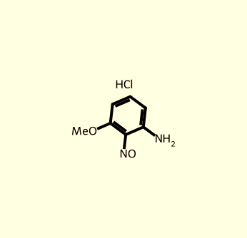 COc1cccc(N)c1N=O.Cl